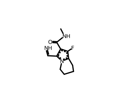 CNC(=O)c1c(F)c2n(c1C=N)CCCC2